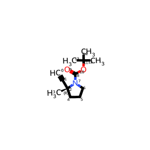 C#C[C@@]1(C)CCCN1C(=O)OC(C)(C)C